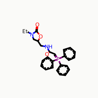 CCN1CC(CNC(=O)C=P(c2ccccc2)(c2ccccc2)c2ccccc2)OC1=O